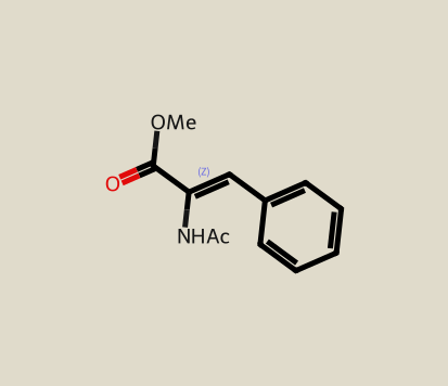 COC(=O)/C(=C/c1ccccc1)NC(C)=O